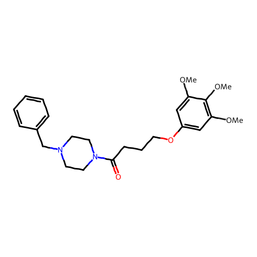 COc1cc(OCCCC(=O)N2CCN(Cc3ccccc3)CC2)cc(OC)c1OC